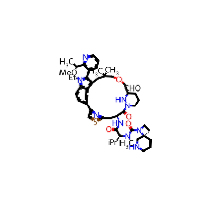 CCn1c(-c2cccnc2[C@H](C)OC)c2c3cc(ccc31)-c1csc(n1)C[C@H](NC(=O)[C@H](C(C)C)N(C)C(=O)N1CC[C@@]13CCCNC3)C(=O)N1CCC[C@](C=O)(COCC(C)(C)C2)N1